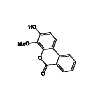 COc1c(O)ccc2c1oc(=O)c1ccccc12